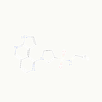 O=S(=O)(NCC(F)(F)F)C1CCN(c2nccc3cnc4[nH]ccc4c23)C1